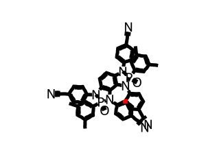 Cc1cc(C)cc(P2(=O)N(c3ccc(C#N)cc3)c3ccc4c(c3N2c2ccc(C#N)cc2)N(c2ccc(C#N)cc2)P(=O)(c2cc(C)cc(C)c2)N4c2ccc(C#N)cc2)c1